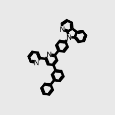 c1ccc(-c2cccc(-c3cc(-c4ccc(-n5c6ccccc6c6cccnc65)cc4)nc(-c4ccccn4)c3)c2)cc1